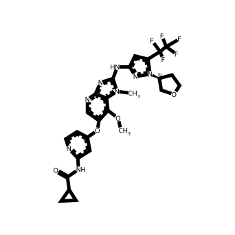 COc1c(Oc2ccnc(NC(=O)C3CC3)c2)cnc2nc(Nc3cc(C(F)(F)C(F)(F)F)n([C@H]4CCOC4)n3)n(C)c12